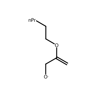 C=C(C[O])OCCCCC